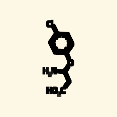 NC(CC(=O)O)Oc1ccc(Cl)cc1